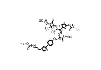 CC(C)(C)OC(=O)NCCCn1cnc(-c2ccc(OC[C@H](O/N=C(\C(=O)N[C@@H]3C(=O)N(OS(=O)(=O)O)C3(C)C)c3csc(NC(=O)OC(C)(C)C)n3)C(=O)OC(C)(C)C)cc2)c1